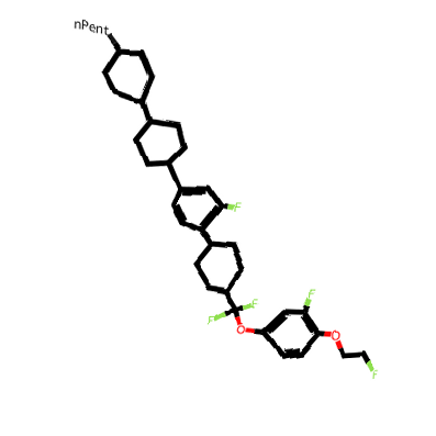 CCCCCC1CCC(C2CCC(c3ccc(C4CCC(C(F)(F)Oc5ccc(OCCF)c(F)c5)CC4)c(F)c3)CC2)CC1